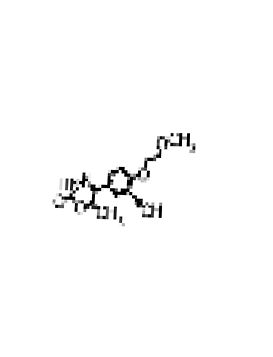 C#Cc1cc(C2=NNC(=O)O[C@H]2C)ccc1OCCOC